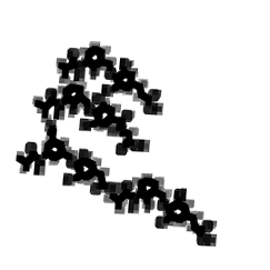 CC(C)C(=O)Nc1cc(C#N)cc(COc2c(Br)cc(CC(=O)O)cc2Br)c1.CC(C)C(=O)Nc1cccc(COc2c(Br)cc(C(=O)NCC(=O)O)cc2Br)c1F.CC(C)C(=O)Nc1cccc(COc2c(Br)cc(CCC(=O)O)cc2Br)c1F.CC(C)C(=O)Nc1cccc(COc2c(Cl)cc(CCC(=O)O)cc2Cl)c1F